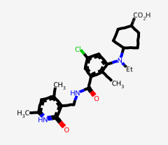 CCN(c1cc(Cl)cc(C(=O)NCc2c(C)cc(C)[nH]c2=O)c1C)C1CCC(C(=O)O)CC1